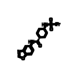 CC(C)S(=O)(=O)N[C@H]1CC[C@H](C(=O)Nc2ccc3ocnc3c2)CC1